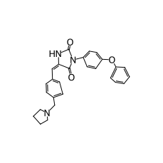 O=C1NC(=Cc2ccc(CN3CCCC3)cc2)C(=O)N1c1ccc(Oc2ccccc2)cc1